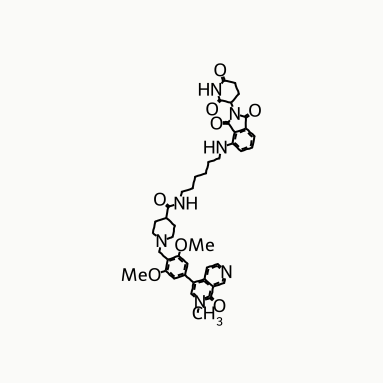 COc1cc(-c2cn(C)c(=O)c3cnccc23)cc(OC)c1CN1CCC(C(=O)NCCCCCCNc2cccc3c2C(=O)N(C2CCC(=O)NC2=O)C3=O)CC1